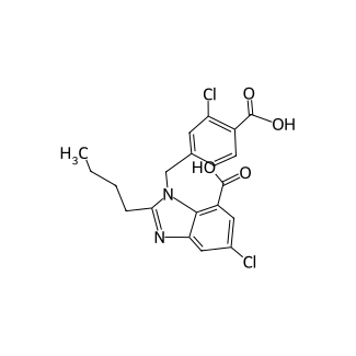 CCCCc1nc2cc(Cl)cc(C(=O)O)c2n1Cc1ccc(C(=O)O)c(Cl)c1